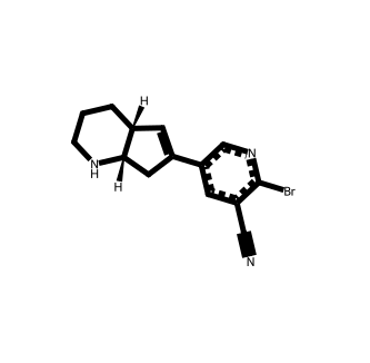 N#Cc1cc(C2=C[C@H]3CCCN[C@H]3C2)cnc1Br